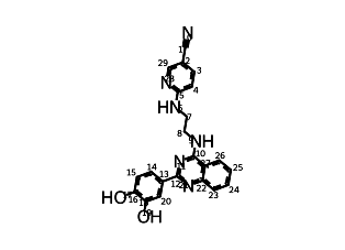 N#Cc1ccc(NCCNc2nc(-c3ccc(O)c(O)c3)nc3ccccc23)nc1